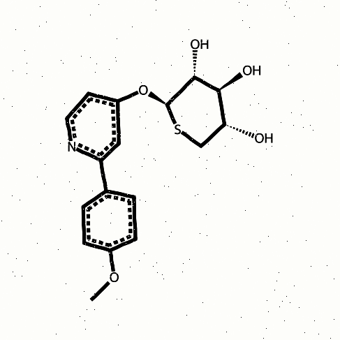 COc1ccc(-c2cc(O[C@@H]3SC[C@@H](O)[C@H](O)[C@H]3O)ccn2)cc1